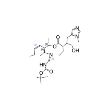 CC/C=C\[C@H](C(C)/N=C\NC(=O)OC(C)(C)C)[C@H](C)OC(=O)C(CC)C(CO)Cc1cncn1C